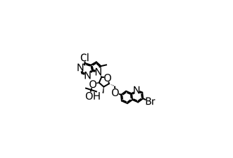 Cc1cc2c(Cl)ncnc2n1[C@@H]1O[C@H](COc2ccc3cc(Br)cnc3c2)[C@@H](C)[C@H]1OC(C)(C)O